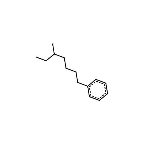 [CH2]C(CC)CCCCc1ccccc1